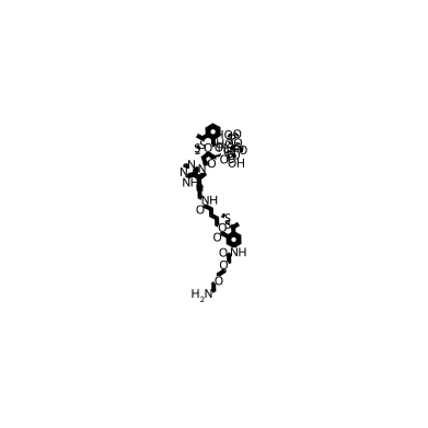 CSSC(C)c1ccc(NC(=O)COCCOCCN)cc1C(=O)OCCCCC(=O)NCC#Cc1cn([C@H]2CC(OC(=O)c3ccccc3C(C)SSC)[C@@H](COP(=O)(O)OP(=O)(O)OP(=O)(O)O)O2)c2ncnc(N)c12